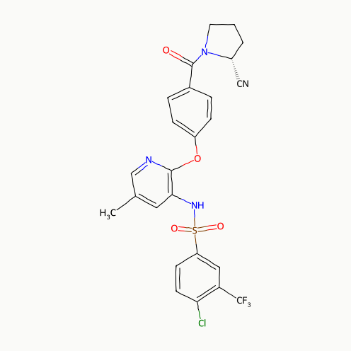 Cc1cnc(Oc2ccc(C(=O)N3CCC[C@@H]3C#N)cc2)c(NS(=O)(=O)c2ccc(Cl)c(C(F)(F)F)c2)c1